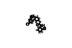 O=C(Cc1ccc(Cl)c(-c2cc(Cl)sc2Br)c1)Nc1ccccc1Cl